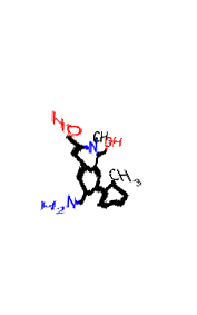 Cc1ccccc1C1C=C2C(CC1CN)CC(CO)N(C)C2CO